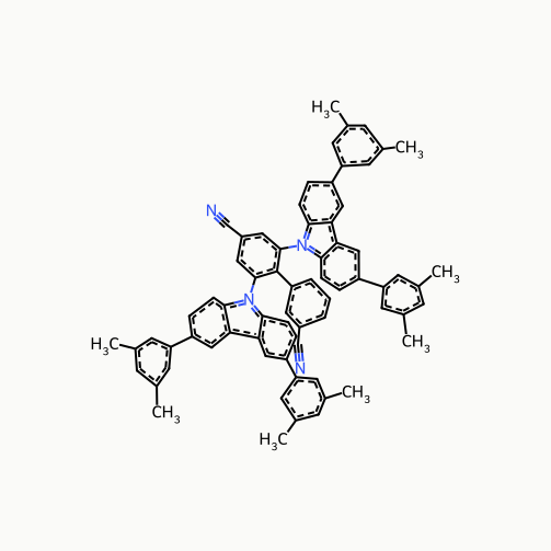 Cc1cc(C)cc(-c2ccc3c(c2)c2cc(-c4cc(C)cc(C)c4)ccc2n3-c2cc(C#N)cc(-n3c4ccc(-c5cc(C)cc(C)c5)cc4c4cc(-c5cc(C)cc(C)c5)ccc43)c2-c2cccc(C#N)c2)c1